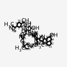 Cc1ncsc1-c1ccc([C@H](C)NC(=O)[C@@H]2C[C@@H](O)CN2C(=O)[C@H](c2cc(OCCC3(C)CCN(CCOc4nc(N5CC6CCCC5CN6)c5cnc6c(c5n4)C(C)c4cccc5cc(O)cc-6c45)CC3)no2)C(C)C)cc1